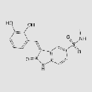 CNS(=O)(=O)c1ccc2c(c1)C(=Cc1cccc(O)c1O)C(=O)N2